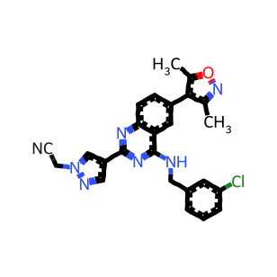 Cc1noc(C)c1-c1ccc2nc(-c3cnn(CC#N)c3)nc(NCc3cccc(Cl)c3)c2c1